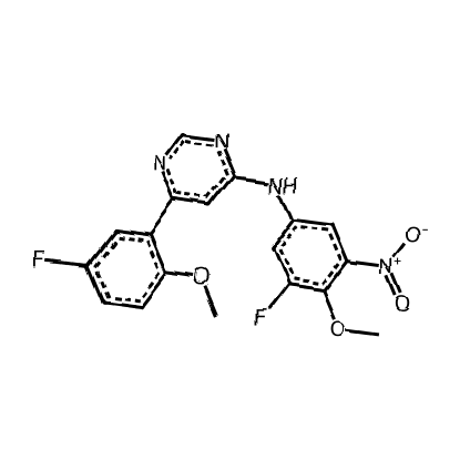 COc1ccc(F)cc1-c1cc(Nc2cc(F)c(OC)c([N+](=O)[O-])c2)ncn1